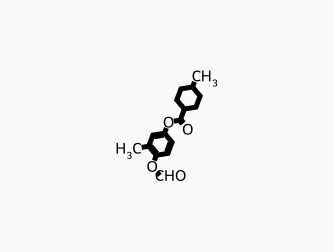 Cc1cc(OC(=O)C2CCC(C)CC2)ccc1OC=O